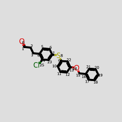 O=CCCc1ccc(Sc2cccc(OCc3ccccc3)c2)cc1Cl